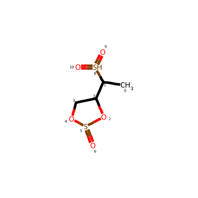 CC(C1COS(=O)O1)[SH](=O)=O